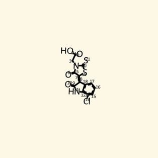 O=C(O)CN1C(=O)/C(=C2\C(=O)Nc3c(Cl)cccc32)SC1=S